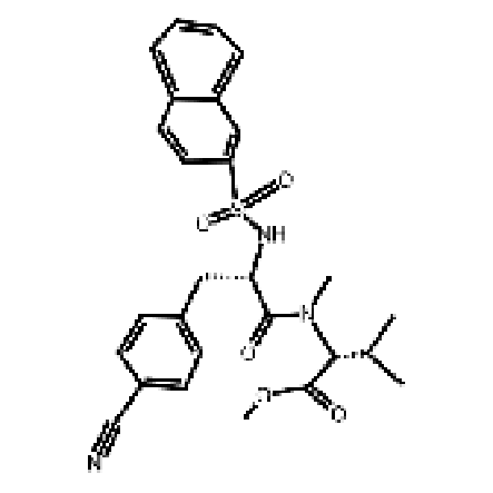 COC(=O)[C@@H](C(C)C)N(C)C(=O)[C@H](Cc1ccc(C#N)cc1)NS(=O)(=O)c1ccc2ccccc2c1